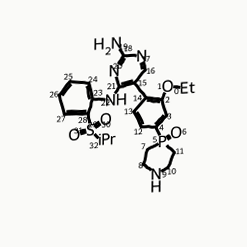 CCOc1cc(P2(=O)CCNCC2)ccc1-c1cnc(N)nc1Nc1ccccc1S(=O)(=O)C(C)C